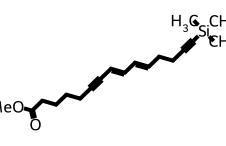 COC(=O)CCCCC#C/C=C/C=C/CCC#C[Si](C)(C)C